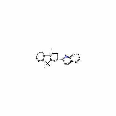 Cc1cc(-c2ccc3ccccc3n2)cc2c1-c1ccccc1C2(C)C